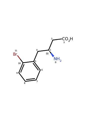 N[C@H](CC(=O)O)Cc1ccccc1Br